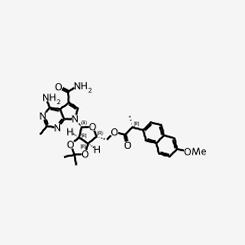 COc1ccc2cc([C@@H](C)C(=O)OC[C@H]3O[C@@H](n4cc(C(N)=O)c5c(N)nc(C)nc54)[C@@H]4OC(C)(C)O[C@@H]43)ccc2c1